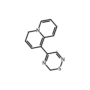 [C]1=NSCN=C1C1=C2C=CC=CN2CC=C1